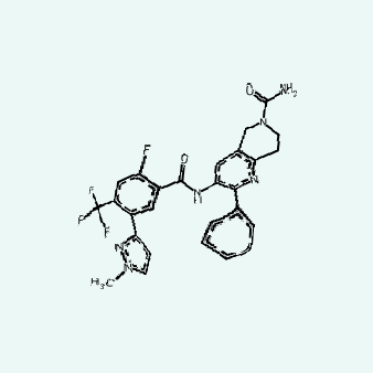 Cn1ccc(-c2cc(C(=O)Nc3cc4c(nc3-c3ccccc3)CCN(C(N)=O)C4)c(F)cc2C(F)(F)F)n1